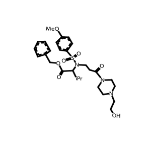 COc1ccc(S(=O)(=O)N(CCC(=O)N2CCN(CCO)CC2)C(C(=O)OCc2ccccc2)C(C)C)cc1